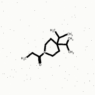 CCC(=O)N1CCC(C(C)C)(C(C)C)CC1